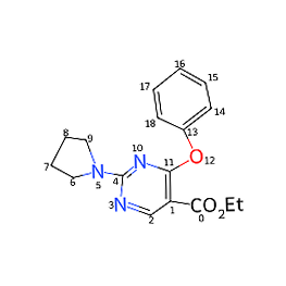 CCOC(=O)c1cnc(N2CCCC2)nc1Oc1ccccc1